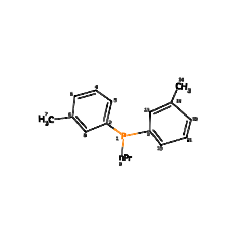 CCCP(c1cccc(C)c1)c1cccc(C)c1